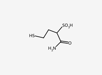 NC(=O)C(CCS)S(=O)(=O)O